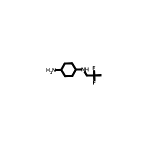 CC(F)(F)CNC1CCC(N)CC1